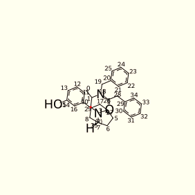 CC(CN1C2CC[C@@H]1CC(c1cccc(O)c1)C2)N(Cc1ccccc1)C(=O)Cc1ccccc1